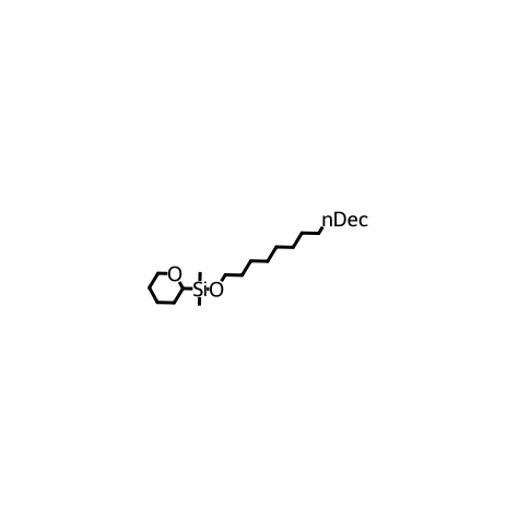 CCCCCCCCCCCCCCCCCCO[Si](C)(C)C1CCCCO1